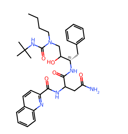 CCCCN(CC(O)[C@H](Cc1ccccc1)NC(=O)C(CC(N)=O)NC(=O)c1ccc2ccccc2n1)C(=O)NC(C)(C)C